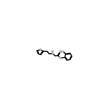 O=C(CNCCc1cccs1)Oc1ccccc1Cl